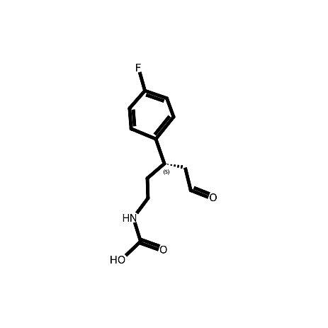 O=CC[C@H](CCNC(=O)O)c1ccc(F)cc1